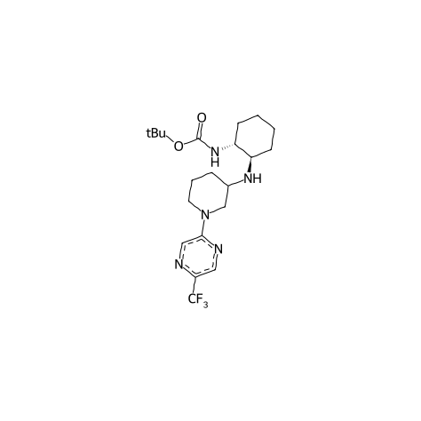 CC(C)(C)OC(=O)N[C@@H]1CCCC[C@H]1NC1CCCN(c2cnc(C(F)(F)F)cn2)C1